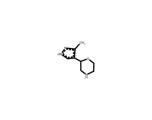 Cc1n[nH]cc1C1CNCCO1